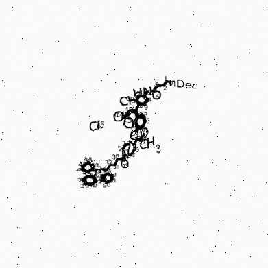 CCCCCCCCCCCCCC(=O)Nc1ccc(-c2cc(=O)oc3cc(O[C@H](C)C(=O)N4CCN(C(=O)CCCCC[P+](c5ccccc5)(c5ccccc5)c5ccccc5)CC4)ccc23)c(Cl)c1.[Cl-]